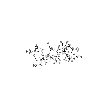 CC1(C)CC[C@]2(CO)CC[C@]3(C)C(C(=O)CC4[C@@]5(C)[C@H]6C[C@@]6(C#N)C(=O)C(C)(C)[C@@H]5CC[C@]43C)C2C1